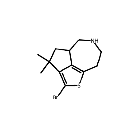 CC1(C)CC2CNCCc3sc(Br)c1c32